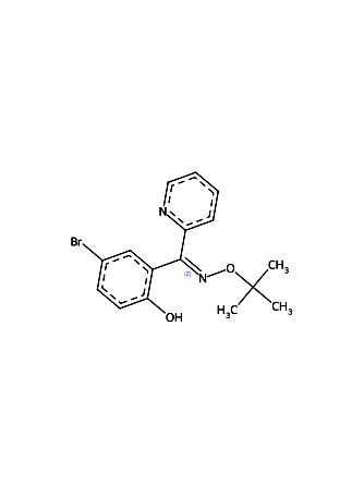 CC(C)(C)O/N=C(\c1ccccn1)c1cc(Br)ccc1O